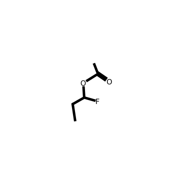 CCC(F)OC(C)=O